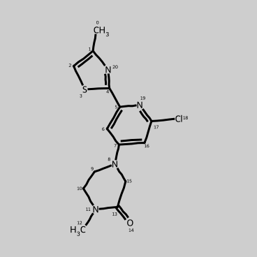 Cc1csc(-c2cc(N3CCN(C)C(=O)C3)cc(Cl)n2)n1